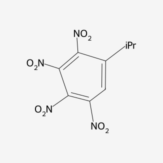 CC(C)c1cc([N+](=O)[O-])c([N+](=O)[O-])c([N+](=O)[O-])c1[N+](=O)[O-]